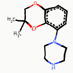 CC1(C)COc2cccc(N3CCNCC3)c2O1